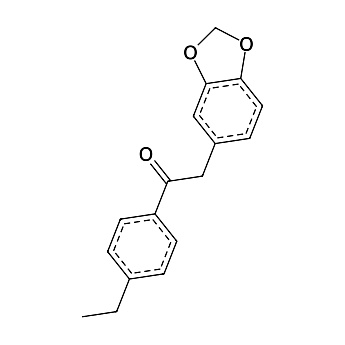 CCc1ccc(C(=O)Cc2ccc3c(c2)OCO3)cc1